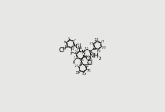 Cc1c(Cc2c(Cl)cccc2Cl)c(C)n(CC(N)c2ccccc2)c(=O)c1-c1ccccc1Cl